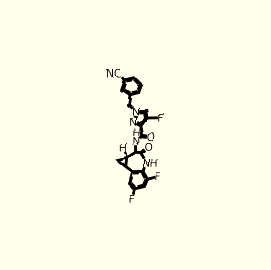 N#Cc1cccc(Cn2cc(F)c(C(=O)NC3C(=O)Nc4c(F)cc(F)cc4C4C[C@H]34)n2)c1